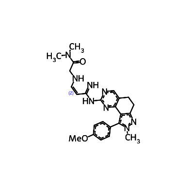 COc1ccc(-c2c3c(nn2C)CCc2cnc(NC(=N)/C=C\NCC(=O)N(C)C)nc2-3)cc1